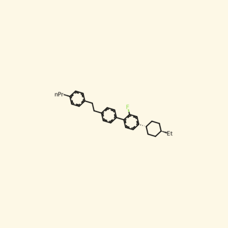 CCCc1ccc(CCc2ccc(-c3ccc([C@H]4CC[C@H](CC)CC4)cc3F)cc2)cc1